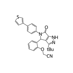 CC(C)(C)c1n[nH]c2c1C(c1ccccc1OCC#N)N(c1ccc(-c3ccsc3)cc1)C2=O